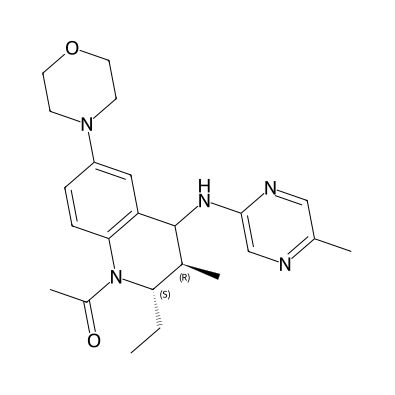 CC[C@H]1[C@H](C)C(Nc2cnc(C)cn2)c2cc(N3CCOCC3)ccc2N1C(C)=O